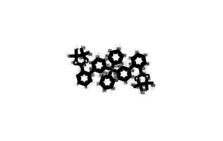 CC1(C)OB(c2ccccc2-c2cccc([Si](c3ccccc3)(c3ccccc3)c3cccc(-c4ccccc4B4OC(C)(C)C(C)(C)O4)c3)c2)OC1(C)C